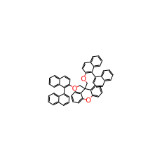 c1ccc2c(c1)Oc1ccccc1C2(COc1ccc2ccccc2c1-c1cccc2ccccc12)COc1ccc2ccccc2c1-c1cccc2ccccc12